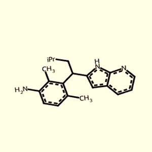 Cc1ccc(N)c(C)c1C(CC(C)C)c1cc2cccnc2[nH]1